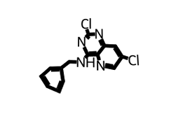 Clc1cnc2c(NCc3ccccc3)nc(Cl)nc2c1